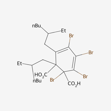 CCCCC(CC)CC1=C(Br)C(Br)=C(Br)C(Br)(C(=O)O)C1(CC(CC)CCCC)C(=O)O